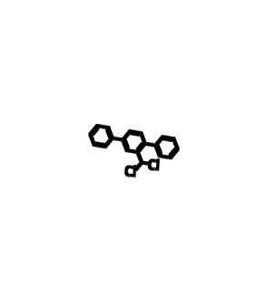 ClC(Cl)c1cc(-c2ccccc2)ccc1-c1ccccc1